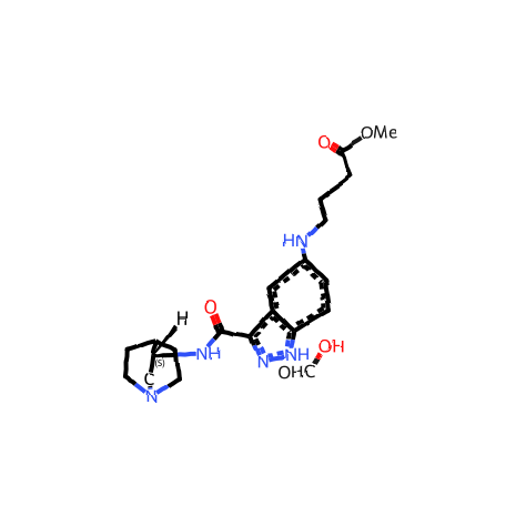 COC(=O)CCCNc1ccc2[nH]nc(C(=O)N[C@@H]3CN4CCC3CC4)c2c1.O=CO